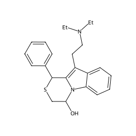 CCN(CC)CCc1c2n(c3ccccc13)C(O)CSC2c1ccccc1